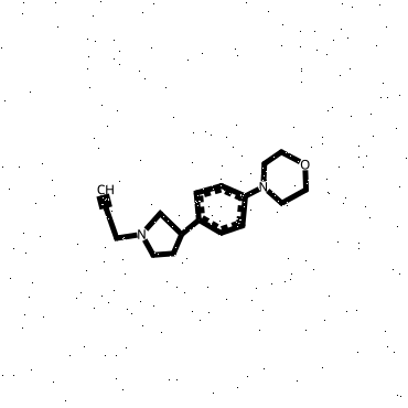 C#CCN1CCC(c2ccc(N3CCOCC3)cc2)C1